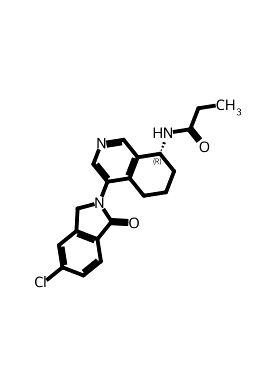 CCC(=O)N[C@@H]1CCCc2c1cncc2N1Cc2cc(Cl)ccc2C1=O